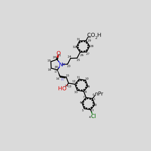 CCCc1cc(Cl)ccc1-c1cccc(C(O)/C=C/[C@H]2CCC(=O)N2CCCc2ccc(C(=O)O)cc2)c1